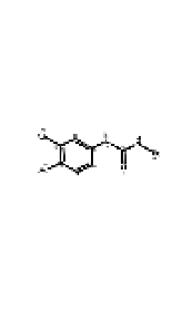 CCNC(=O)Nc1ccc(C(C)=O)c(Cl)c1